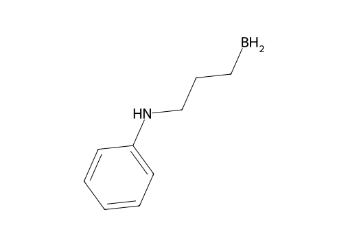 BCCCNc1ccccc1